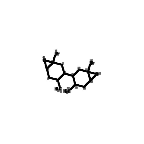 CC1CC2OC2(C(C)C)CC1C1CC2(C(C)C)OC2CC1C